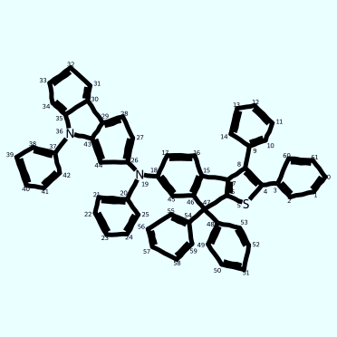 c1ccc(-c2sc3c(c2-c2ccccc2)-c2ccc(N(c4ccccc4)c4ccc5c6ccccc6n(-c6ccccc6)c5c4)cc2C3(c2ccccc2)c2ccccc2)cc1